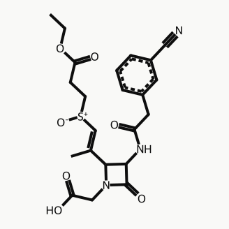 CCOC(=O)CC[S+]([O-])C=C(C)C1C(NC(=O)Cc2cccc(C#N)c2)C(=O)N1CC(=O)O